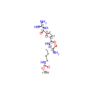 CC(C)(C)OC(=O)NCCCC[C@H](NC(=O)c1ccc(C(=O)NC(=N)N)o1)C(N)=O